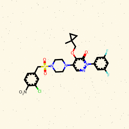 CC1(COc2c(N3CCN(S(=O)(=O)Cc4ccc([N+](=O)[O-])c(Cl)c4)CC3)cnn(-c3cc(F)cc(F)c3)c2=O)CC1